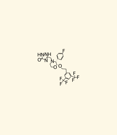 O=c1nc(CN2CCO[C@@H](OCCc3cc(C(F)(F)F)cc(C(F)(F)F)c3)[C@H]2c2ccc(F)cc2)[nH][nH]1